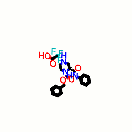 O=C(Nc1ccccc1)[C@@H]1CNCCN1C(=O)OCc1ccccc1.O=C(O)C(F)(F)F